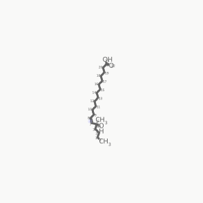 CCCC[C@](C)(O)/C=C\CCCCCCCCCCCCC(=O)O